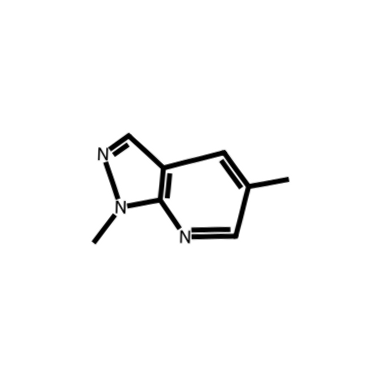 Cc1cnc2c(cnn2C)c1